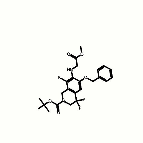 COC(=O)CNc1c(OCc2ccccc2)cc2c(c1F)CN(C(=O)OC(C)(C)C)CC2(F)F